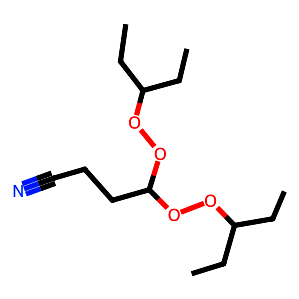 CCC(CC)OOC(CCC#N)OOC(CC)CC